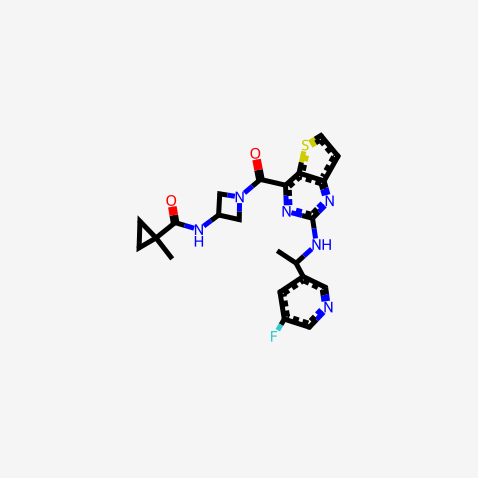 CC(Nc1nc(C(=O)N2CC(NC(=O)C3(C)CC3)C2)c2sccc2n1)c1cncc(F)c1